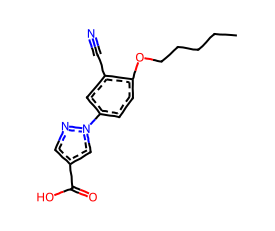 CCCCCOc1ccc(-n2cc(C(=O)O)cn2)cc1C#N